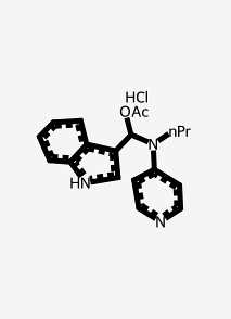 CCCN(c1ccncc1)C(OC(C)=O)c1c[nH]c2ccccc12.Cl